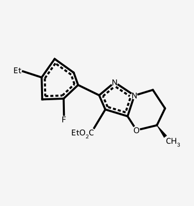 CCOC(=O)c1c(-c2ccc(CC)cc2F)nn2c1O[C@H](C)CC2